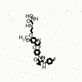 COc1cc2c(Oc3ccc(NC(=O)C4(C(=O)Nc5ccc(F)cc5)CC4)cc3F)ccnc2cc1OCCCNCC(=O)NO